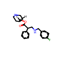 O=C(O[C@H]1CN2CCC1CC2)C(CNCc1ccc(F)cc1)c1ccccc1